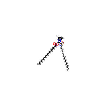 CCCCCCCCCCCCCCCCCCNC(=O)C(COC(=O)CCCCCCCCCCCCCCCCCC)N1CC(C)CC(C)C1